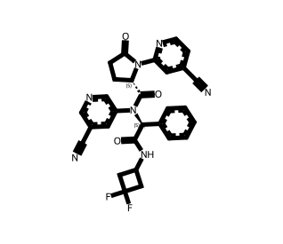 N#Cc1cncc(N(C(=O)[C@@H]2CCC(=O)N2c2cc(C#N)ccn2)[C@H](C(=O)NC2CC(F)(F)C2)c2ccccc2)c1